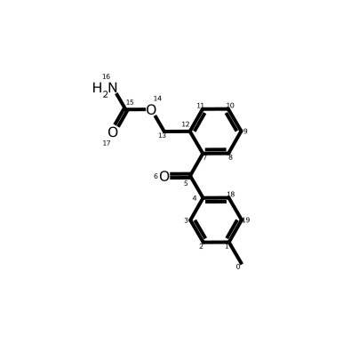 Cc1ccc(C(=O)c2ccccc2COC(N)=O)cc1